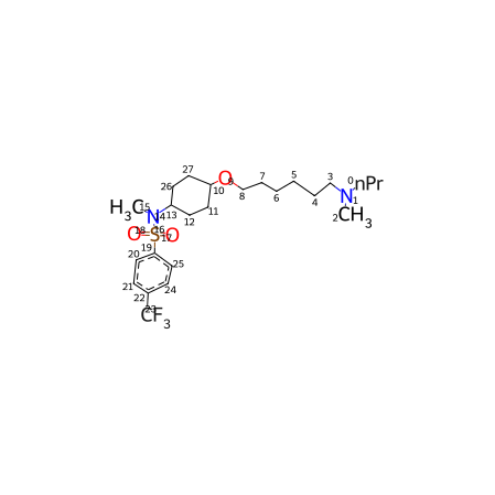 CCCN(C)CCCCCCOC1CCC(N(C)S(=O)(=O)c2ccc(C(F)(F)F)cc2)CC1